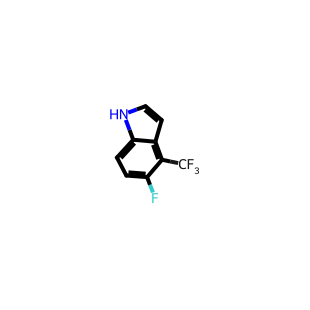 Fc1ccc2[nH]ccc2c1C(F)(F)F